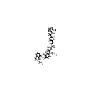 Cc1ccc2cccc(OCc3c(Cl)ccc(N(C)C(=O)CNC(=O)C=Cc4ccc(C(=O)Nc5nnn[nH]5)cc4)c3Cl)c2n1